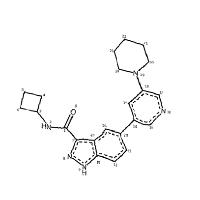 O=C(NC1CCC1)c1n[nH]c2ccc(-c3cncc(N4CCCCC4)c3)cc12